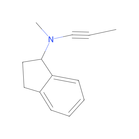 CC#CN(C)C1CCc2ccccc21